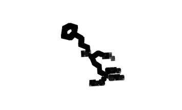 CO[Si](CCCC(CN)NCC=Cc1ccccc1)(OC)OC